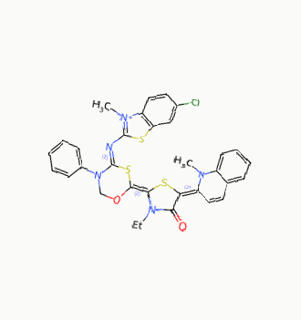 CCn1c(=O)/c(=C2\C=Cc3ccccc3N2C)s/c1=C1/OCN(c2ccccc2)/C(=N/c2sc3cc(Cl)ccc3[n+]2C)S1